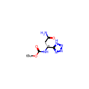 CC(C)(C)OC(=O)N[C@H](CC(N)=O)c1nnn[nH]1